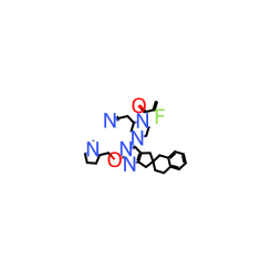 C=C(F)C(=O)N1CCN(c2nc(OCC3CCCN3C)nc3c2CC2(CCc4ccccc4C2)C3)CC1CC#N